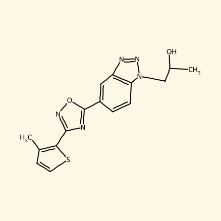 Cc1ccsc1-c1noc(-c2ccc3c(c2)nnn3CC(C)O)n1